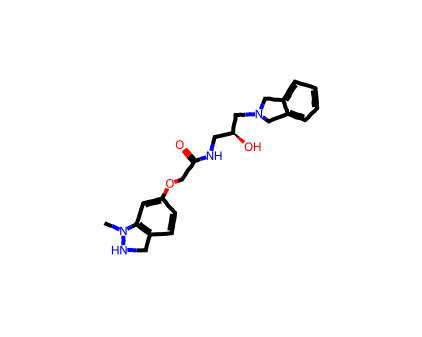 CN1NCc2ccc(OCC(=O)NC[C@H](O)CN3Cc4ccccc4C3)cc21